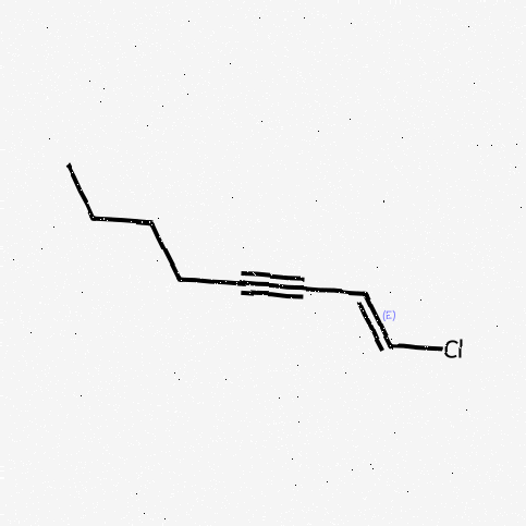 CCCCC#C/C=C/Cl